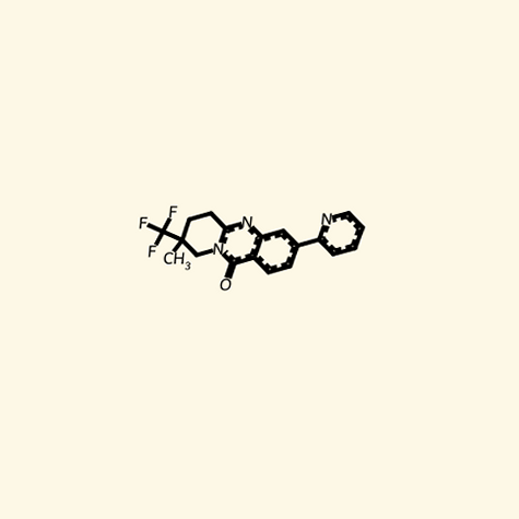 CC1(C(F)(F)F)CCc2nc3cc(-c4ccccn4)ccc3c(=O)n2C1